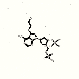 CC(C)[Si](O[C@H]1C[C@H](n2nc(SCCO)c3c(N)ncnc32)O[C@@H]1COS(N)(=O)=O)(C(C)C)C(C)C